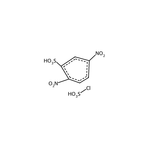 O=S(=O)(O)Cl.O=[N+]([O-])c1ccc([N+](=O)[O-])c(S(=O)(=O)O)c1